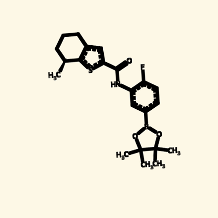 C[C@H]1CCCc2cc(C(=O)Nc3cc(B4OC(C)(C)C(C)(C)O4)ccc3F)sc21